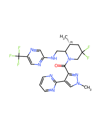 C[C@@H]1CC(F)(F)CN(C(=O)c2nn(C)cc2-c2ncccn2)C1CNc1cnc(C(F)(F)F)cn1